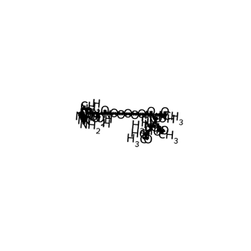 CC(=O)N(O)CCCC(N)C(=O)N[C@@H](CCCN(O)C(C)=O)C(=O)N[C@H](CCCN(O)C(C)=O)C(=O)NCCOCCOCCOCCOCCOCCNC(=O)CC[C@@H](NC(=O)c1ccc(N(C)Cc2cnc3nc(N)nc(N)c3n2)cc1)C(=O)O